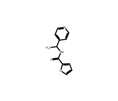 CC(NC(=O)c1ccco1)c1ccncc1